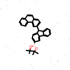 CC1(C)OB(c2ccc3c(c2)-c2ccccc2C3c2ccc3ccc4ccccc4c3c2)OC1(C)C